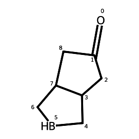 O=C1CC2CBCC2C1